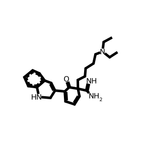 CCN(CC)CCCCCC1(C(=N)N)C=CC=C(C2=Cc3ccccc3NC2)C1=O